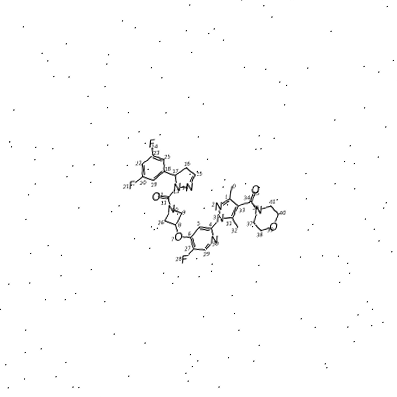 Cc1nn(-c2cc(OC3CN(C(=O)N4N=CCC4c4cc(F)cc(F)c4)C3)c(F)cn2)c(C)c1C(=O)N1CCOCC1